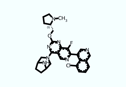 CN1CCC[C@H]1COc1nc(N2CC3CCC(C2)N3)c2cnc(-c3cncc4cccc(Cl)c34)c(F)c2n1